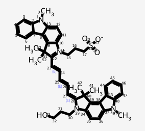 Cn1c2ccccc2c2c3c(ccc21)[N+](CCCS(=O)(=O)[O-])=C(/C=C/C=C/C=C1/N(CCCO)c2ccc4c(c2C1(C)C)c1ccccc1n4C)C3(C)C